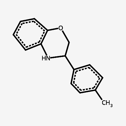 Cc1ccc(C2COc3ccccc3N2)cc1